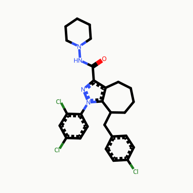 O=C(NN1CCCCC1)c1nn(-c2ccc(Cl)cc2Cl)c2c1CCCCC2Cc1ccc(Cl)cc1